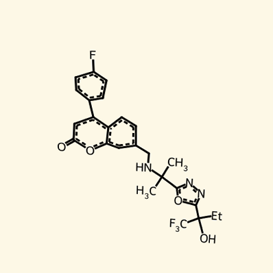 CCC(O)(c1nnc(C(C)(C)NCc2ccc3c(-c4ccc(F)cc4)cc(=O)oc3c2)o1)C(F)(F)F